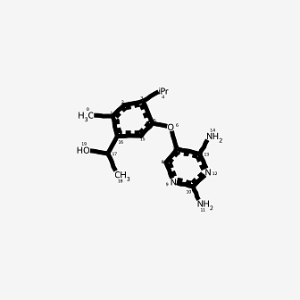 Cc1cc(C(C)C)c(Oc2cnc(N)nc2N)cc1C(C)O